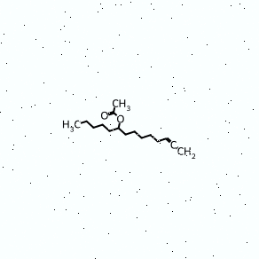 C=C=CCCCCCC(CCCCC)OC(C)=O